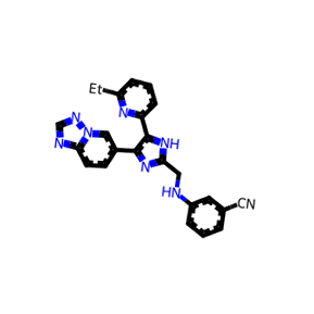 CCc1cccc(-c2[nH]c(CNc3cccc(C#N)c3)nc2-c2ccc3ncnn3c2)n1